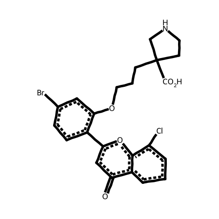 O=C(O)C1(CCCOc2cc(Br)ccc2-c2cc(=O)c3cccc(Cl)c3o2)CCNC1